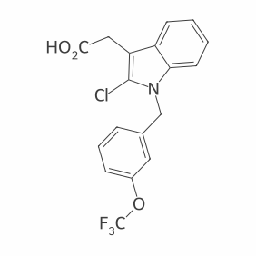 O=C(O)Cc1c(Cl)n(Cc2cccc(OC(F)(F)F)c2)c2ccccc12